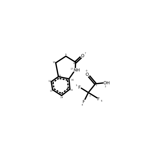 O=C(O)C(F)(F)F.O=C1CCc2ccccc2N1